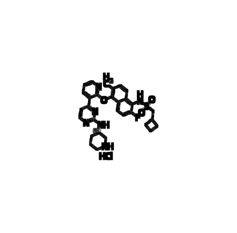 Cc1ccc2c(NS(=O)(=O)CC3CCC3)c(F)ccc2c1Oc1ncccc1-c1ccnc(N[C@H]2CCCNC2)n1.Cl